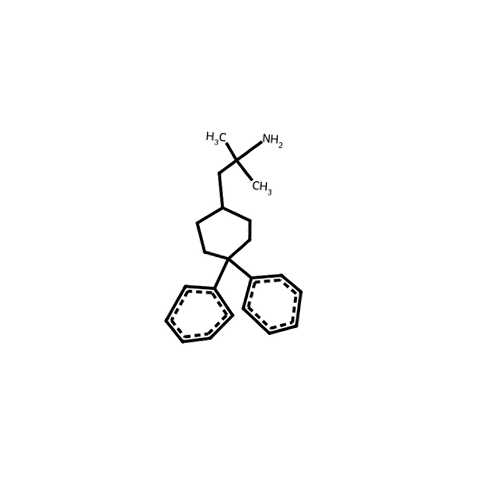 CC(C)(N)CC1CCC(c2ccccc2)(c2ccccc2)CC1